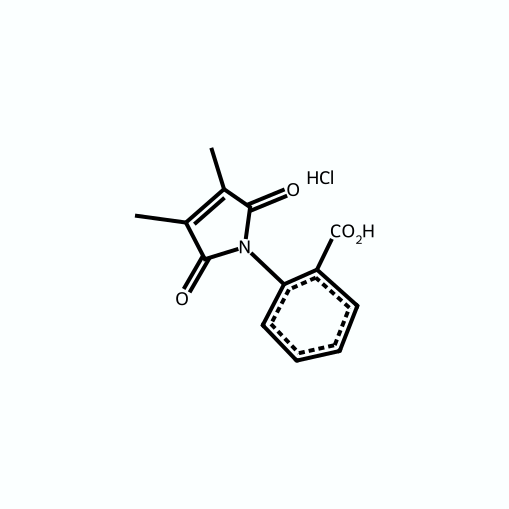 CC1=C(C)C(=O)N(c2ccccc2C(=O)O)C1=O.Cl